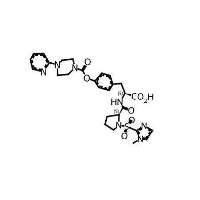 Cn1ccnc1S(=O)(=O)N1CCC[C@H]1C(=O)N[C@@H](Cc1ccc(OC(=O)N2CCN(c3ccccn3)CC2)cc1)C(=O)O